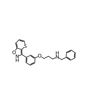 C1=CSC2=C(c3cccc(OCCCNCc4ccccc4)c3)NOC2=C1